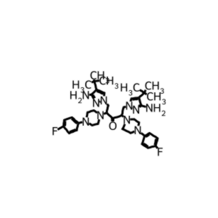 CC(C)(C)c1cn(CC(C(=O)C(Cn2cc(C(C)(C)C)c(N)n2)N2CCN(c3ccc(F)cc3)CC2)N2CCN(c3ccc(F)cc3)CC2)nc1N